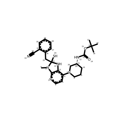 CN1c2nccc(N3CCC[C@@H](NC(=O)OC(C)(C)C)C3)c2NC1(S)Cc1ccccc1C#N